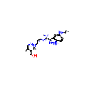 C=N/C(=N\C=C/CN(CC)/N=C\C(C)CCO)c1n[nH]c2ccc(NC(C)C)cc12